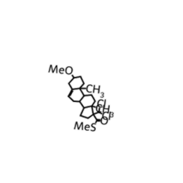 COC1CCC2(C)C(=CCC3C2CCC2(C)C3CCC2(C(=O)SC)C(Cl)Cl)C1